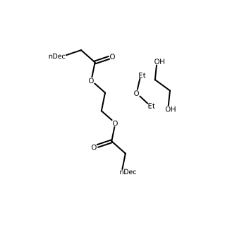 CCCCCCCCCCCC(=O)OCCOC(=O)CCCCCCCCCCC.CCOCC.OCCO